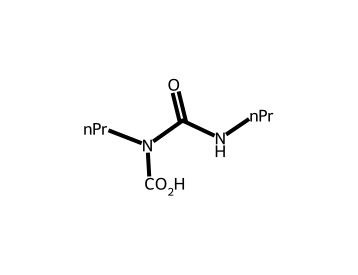 CCCNC(=O)N(CCC)C(=O)O